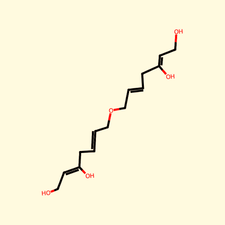 OCC=C(O)CC=CCOCC=CCC(O)=CCO